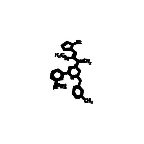 C=N/C(=C\C1=CC=CC1CC)C(=C)N1C=C(c2cccc(CCCCC)c2)N=C(Cc2cccc(C)c2)C1